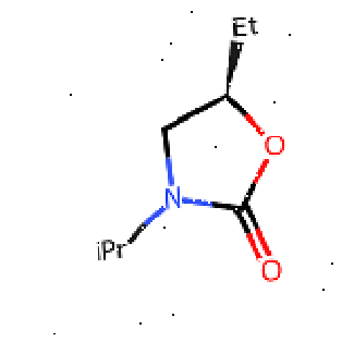 CC[C@@H]1CN(C(C)C)C(=O)O1